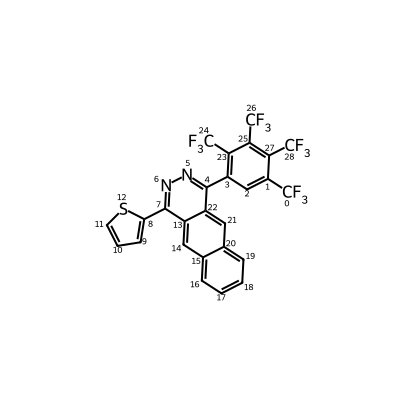 FC(F)(F)c1cc(-c2nnc(-c3cccs3)c3cc4ccccc4cc23)c(C(F)(F)F)c(C(F)(F)F)c1C(F)(F)F